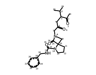 CC(=O)C(CC(=O)CN1CC2(CCCN2C(=O)NCc2ccccc2)C1=O)C(C)C